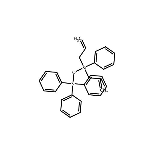 C=CC[Si](CC=C)(O[Si](c1ccccc1)(c1ccccc1)c1ccccc1)c1ccccc1